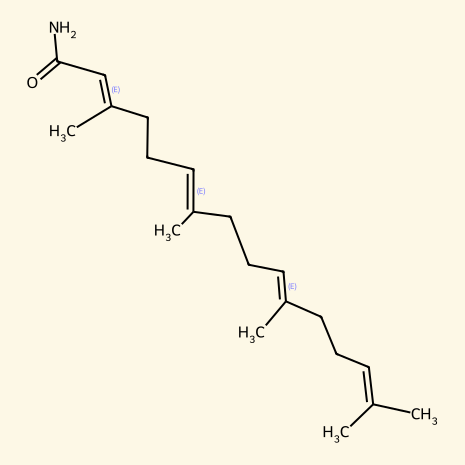 CC(C)=CCC/C(C)=C/CC/C(C)=C/CC/C(C)=C/C(N)=O